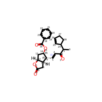 CC(C(=O)/C=C/[C@@H]1[C@H]2CC(=O)O[C@H]2C[C@H]1OC(=O)c1ccccc1)C1C=CCC1